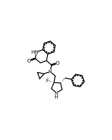 O=C1CC(C(=O)N(C[C@]2(F)CNC[C@H]2Cc2ccccc2)C2CC2)c2ccccc2N1